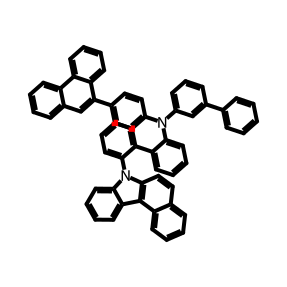 c1ccc(-c2cccc(N(c3ccc(-c4cc5ccccc5c5ccccc45)cc3)c3ccccc3-c3ccccc3-n3c4ccccc4c4c5ccccc5ccc43)c2)cc1